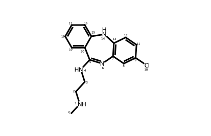 CNCCNC1=Nc2cc(Cl)ccc2Nc2ccccc21